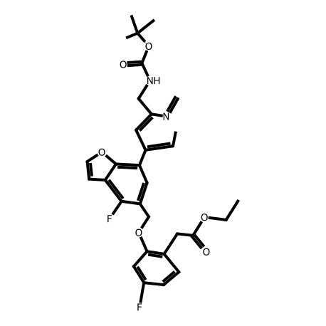 C=N/C(=C\C(=C/C)c1cc(COc2cc(F)ccc2CC(=O)OCC)c(F)c2ccoc12)CNC(=O)OC(C)(C)C